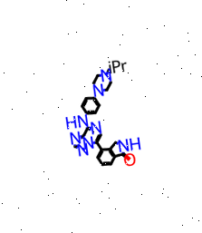 CC(C)N1CCN(c2ccc(Nc3ncc(-c4cccc5c4CNC5=O)n4ncnc34)cc2)CC1